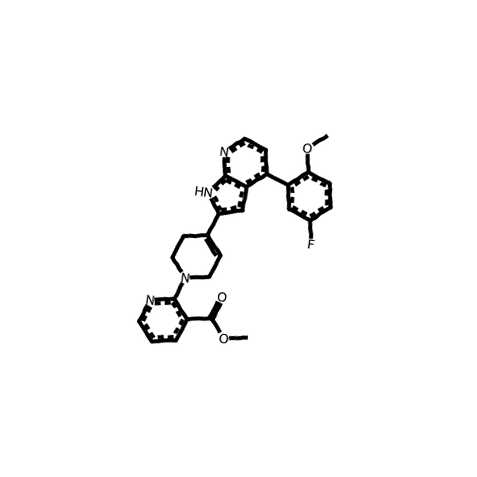 COC(=O)c1cccnc1N1CC=C(c2cc3c(-c4cc(F)ccc4OC)ccnc3[nH]2)CC1